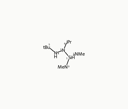 CN[SiH](NC)N(NC(C)(C)C)C(C)C